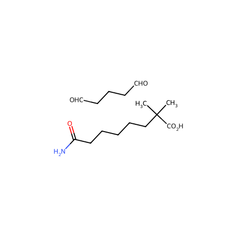 CC(C)(CCCCCC(N)=O)C(=O)O.O=CCCCC=O